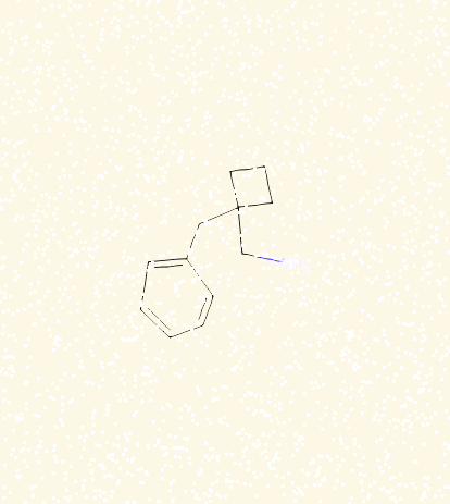 NCC1(Cc2ccccc2)CCC1